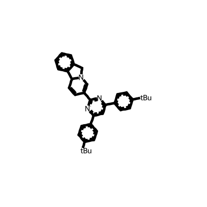 CC(C)(C)c1ccc(-c2cc(-c3ccc(C(C)(C)C)cc3)nc(C3=CN4Cc5ccccc5C4C=C3)n2)cc1